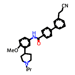 COc1ccc(NC(=O)c2ccc(-c3cccc(CCC#N)c3)cc2)cc1C1CCN(C(C)C)CC1